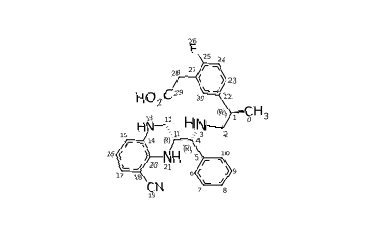 C[C@@H](CN[C@H](c1ccccc1)[C@H]1CNc2cccc(C#N)c2N1)c1ccc(F)c(CC(=O)O)c1